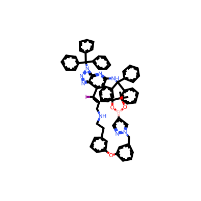 CC1(C)OB(c2cnn(Cc3cccc(Oc4cccc(CCNC/C=C(\I)c5cc(NC(c6ccccc6)(c6ccccc6)c6ccccc6)nc6c5nnn6C(c5ccccc5)(c5ccccc5)c5ccccc5)c4)c3)c2)OC1(C)C